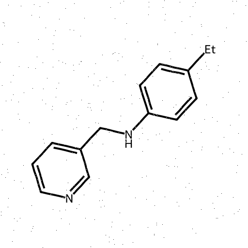 CCc1ccc(NCc2cccnc2)cc1